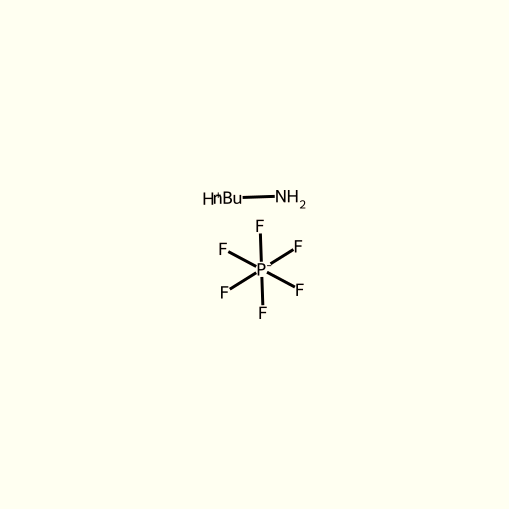 CCCCN.F[P-](F)(F)(F)(F)F.[H+]